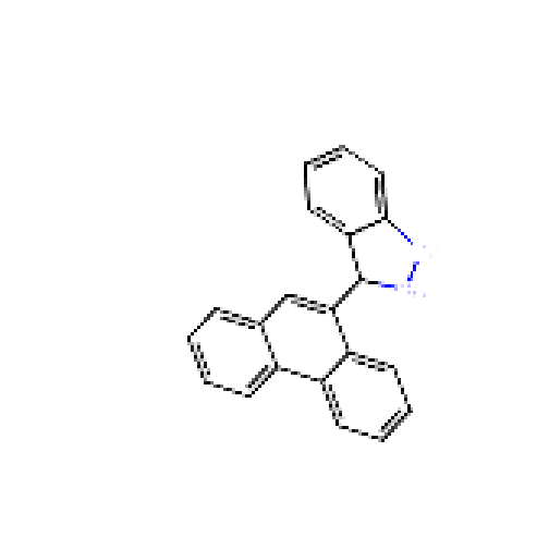 c1ccc2c(c1)NNC2c1cc2ccccc2c2ccccc12